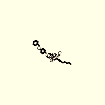 CCCCCC#CC(CS(=O)(=O)N1CCN(c2ccc(OCc3ccccc3)cc2)CC1)N(O)C=O